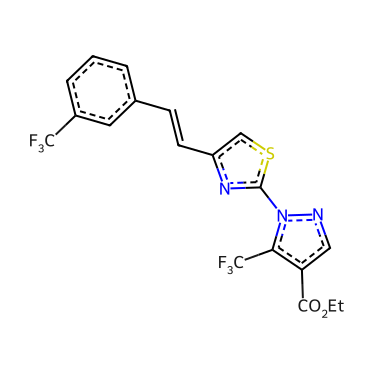 CCOC(=O)c1cnn(-c2nc(C=Cc3cccc(C(F)(F)F)c3)cs2)c1C(F)(F)F